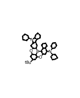 CC(C)(C)c1cc2c3c(c1)Oc1cc(N(c4ccccc4)c4ccccc4)c4ccccc4c1B3c1cc3c4ccccc4n(-c4ccccc4)c3cc1O2